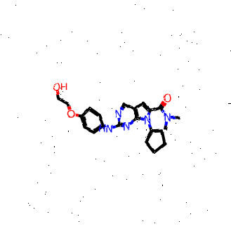 CN(C)C(=O)c1cc2cnc(Nc3ccc(OCCO)cc3)nc2n1C1CCCC1